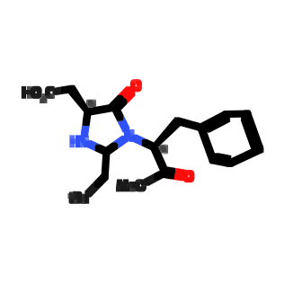 COC(=O)[C@H](Cc1ccccc1)N1C(=O)[C@H](CC(=O)O)NC1CC(C)(C)C